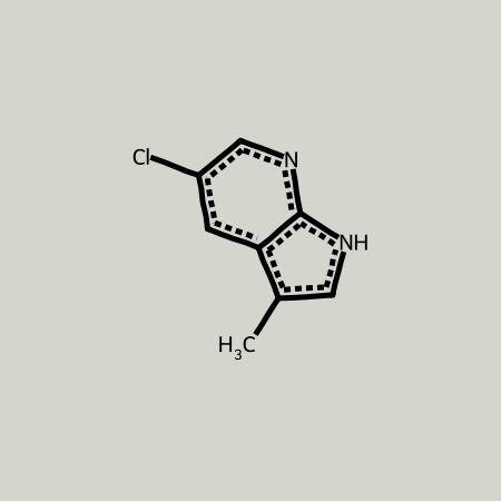 Cc1c[nH]c2ncc(Cl)cc12